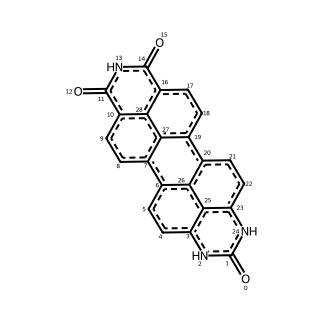 O=c1[nH]c2ccc3c4ccc5c(=O)[nH]c(=O)c6ccc(c7ccc([nH]1)c2c37)c4c56